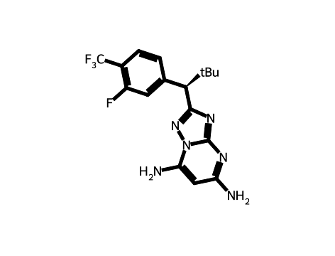 CC(C)(C)[C@H](c1ccc(C(F)(F)F)c(F)c1)c1nc2nc(N)cc(N)n2n1